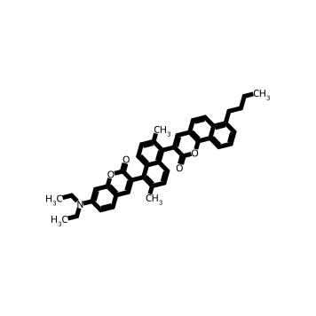 CCCCc1cccc2c1ccc1cc(-c3c(C)ccc4c(-c5cc6ccc(N(CC)CC)cc6oc5=O)c(C)ccc34)c(=O)oc12